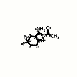 CC(=O)n1nc2c(c1N)CC(F)(F)CC2